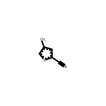 Cc1csc(C#N)c1